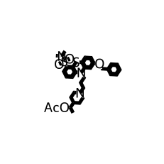 CC(=O)OC(C)C1CCN(CCCN2c3cc(OCc4ccccc4)ccc3Sc3c2cccc3S(=O)(=O)N(C)C)CC1